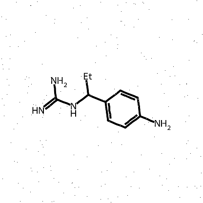 CCC(NC(=N)N)c1ccc(N)cc1